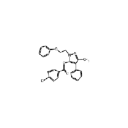 Cc1nn(CCOc2ccccc2)c(OC(=O)c2ccc(Cl)cc2)c1-c1ccccc1